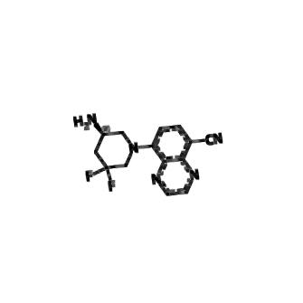 N#Cc1ccc(N2C[C@H](N)CC(F)(F)C2)c2nccnc12